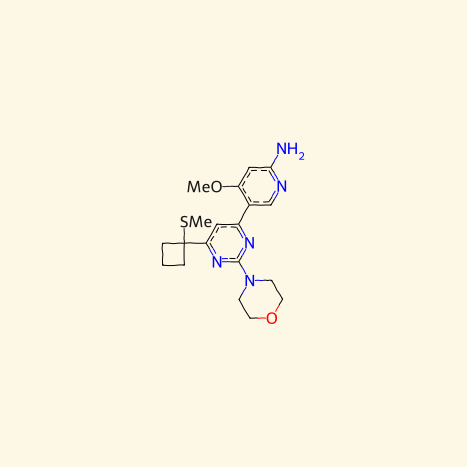 COc1cc(N)ncc1-c1cc(C2(SC)CCC2)nc(N2CCOCC2)n1